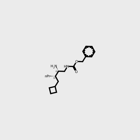 CCC[C@@H](CC1CCC1)[C@H](N)CNC(=O)OCc1ccccc1